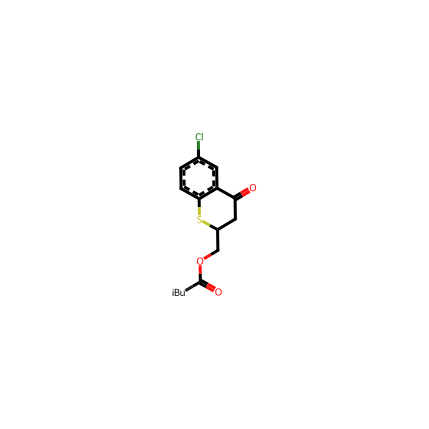 CCC(C)C(=O)OCC1CC(=O)c2cc(Cl)ccc2S1